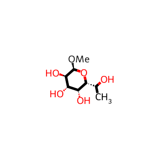 CO[C@H]1O[C@H](C(C)O)[C@H](O)[C@H](O)[C@H]1O